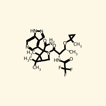 C[C@@H](OC1(C)CC1)[C@H](NC(=O)C(F)(F)F)C(=O)N1CC2C(C)(C)C2(C)C1(C(N)=O)c1cncc2[nH]ncc12